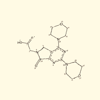 O=C(O)CN1Cc2c(nc(N3CCOCC3)nc2N2CCOCC2)C1=O